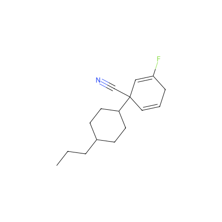 CCCC1CCC(C2(C#N)C=CCC(F)=C2)CC1